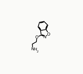 NCCOc1noc2ccccc12